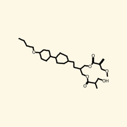 C=C(COC)C(=O)OCC(CCC1CCC(C2CCC(OCCCC)CC2)CC1)COC(=O)C(C)CO